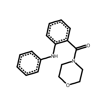 O=C(c1ccccc1Nc1ccccc1)N1CCOCC1